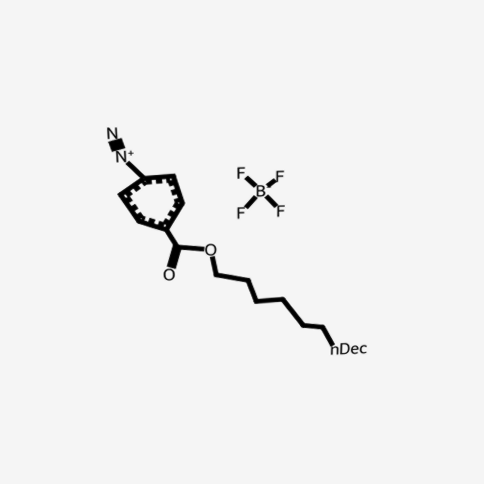 CCCCCCCCCCCCCCCCOC(=O)c1ccc([N+]#N)cc1.F[B-](F)(F)F